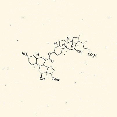 CCC[C@@H](C)[C@H]1CCC2C3C(C(=O)O[C@@H]4CC[C@@]5(C)[C@H](CC[C@@H]6[C@@H]5C[C@H](O)[C@]5(C)[C@@H]([C@H](C)CCC(=O)O)CC[C@@H]65)C4)C[C@@H]4C[C@H](O)CC[C@]4(C)C3C[C@H](O)[C@@]21C